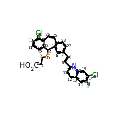 O=C(O)CCSC1c2cc(C=Cc3ccc4cc(F)c(Cl)cc4n3)ccc2C=Cc2c(Cl)cccc21